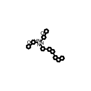 c1cc(C2=NC(c3ccc4c(c3)oc3ccccc34)NC(c3ccc4oc5ccccc5c4c3)=N2)cc(-c2ccc3ccc(-c4ccc5ccc6ccccc6c5c4)cc3c2)c1